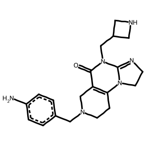 Nc1ccc(CN2CCC3=C(C2)C(=O)N(CC2CNC2)C2=NCCN23)cc1